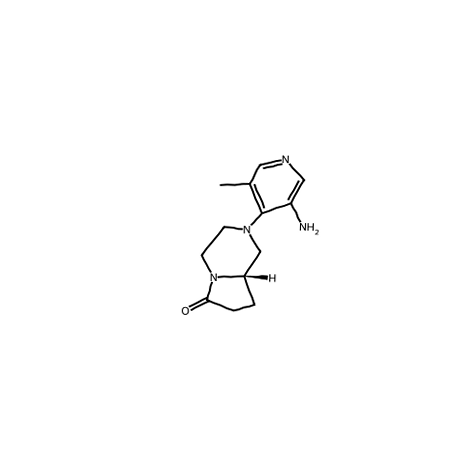 Cc1cncc(N)c1N1CCN2C(=O)CC[C@H]2C1